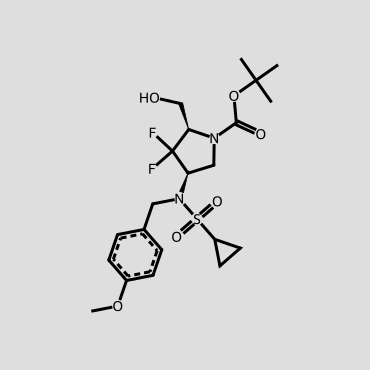 COc1ccc(CN([C@@H]2CN(C(=O)OC(C)(C)C)[C@H](CO)C2(F)F)S(=O)(=O)C2CC2)cc1